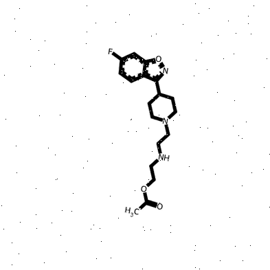 CC(=O)OCCNCCN1CCC(c2noc3cc(F)ccc23)CC1